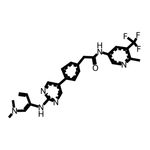 C=C/C(=C\N(C)C)Nc1ncc(-c2ccc(CC(=O)Nc3cnc(C)c(C(F)(F)F)c3)cc2)cn1